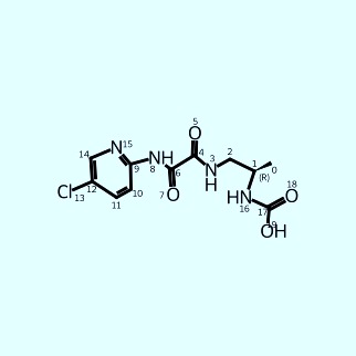 C[C@H](CNC(=O)C(=O)Nc1ccc(Cl)cn1)NC(=O)O